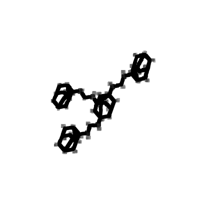 C(OC1C2CC3CC(C2)CC1C3)OC12CC3CC(OCOC4C5CC6CC(C5)CC4C6)(C1)CC(OCOC1C4CC5CC(C4)CC1C5)(C3)C2